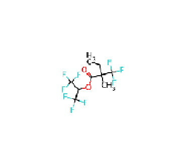 CCC(C)(C(=O)OC(C(F)(F)F)C(F)(F)F)C(F)(F)F